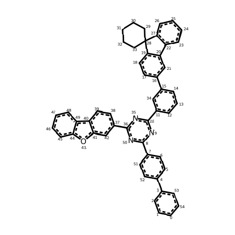 c1ccc(-c2ccc(-c3nc(-c4cccc(-c5ccc6c(c5)-c5ccccc5C65CCCCC5)c4)nc(-c4ccc5c(c4)oc4ccccc45)n3)cc2)cc1